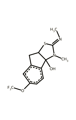 C/N=C1\SC2Cc3cc(OC(F)(F)F)ccc3C2(O)N1C